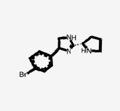 Brc1ccc(C2CNC([C@@H]3CCCN3)=N2)cc1